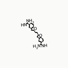 N=C(N)c1ccc2oc(/C=C/c3cc4cc(C(=N)N)ccc4o3)cc2c1